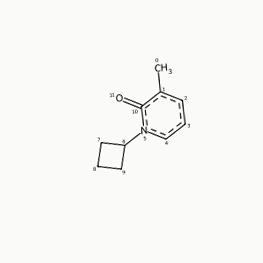 Cc1cccn(C2CCC2)c1=O